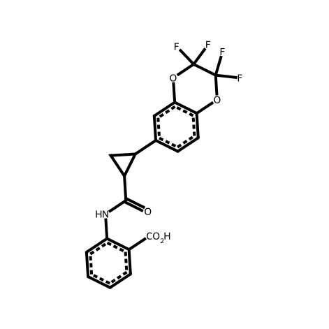 O=C(O)c1ccccc1NC(=O)C1CC1c1ccc2c(c1)OC(F)(F)C(F)(F)O2